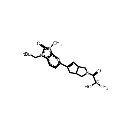 Cn1c(=O)n(CC(C)(C)C)c2ccc(C3=CC4CN(C(=O)[C@H](O)C(F)(F)F)CC4C3)nc21